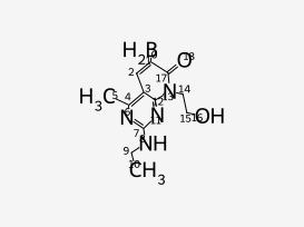 Bc1cc2c(C)nc(NCC)nc2n(CCO)c1=O